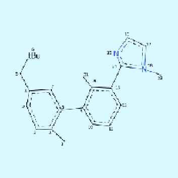 Cc1ccc(CC(C)(C)C)cc1-c1cccc(-c2nccn2C)c1C